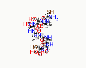 CC(C)C[C@H](NC(=O)[C@@H](NC(=O)[C@H](CO)NC(=O)[C@@H]1CCCN1C(=O)[C@@H](N)CS)[C@@H](C)O)C(=O)NCC(=O)N[C@@H](C)C(=O)N[C@@H](CO)C(=O)N[C@@H](CS)C(=O)O